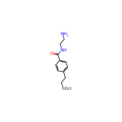 CCCCCCCCCCc1ccc(C(=O)NCCN)cc1